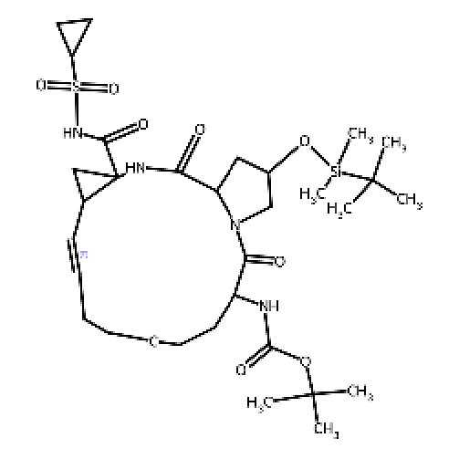 CC(C)(C)OC(=O)NC1CCCCC/C=C/C2CC2(C(=O)NS(=O)(=O)C2CC2)NC(=O)C2CC(O[Si](C)(C)C(C)(C)C)CN2C1=O